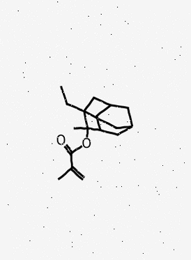 C=C(C)C(=O)OC1(C)C2CC3CC(C2)CC1(CC)C3